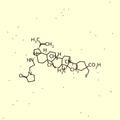 C=C(C)[C@@H]1CC[C@]2(NCCN3CCCC3=O)CC[C@]3(C)[C@H](CC[C@@H]4[C@@]5(C)CC=C(C6=CC[C@](CF)(C(=O)O)CC6)C(C)(C)[C@@H]5CC[C@]43C)[C@@H]12